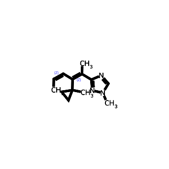 C/C=C\C(=C(/C)c1ncn(C)n1)C1(C)CC1